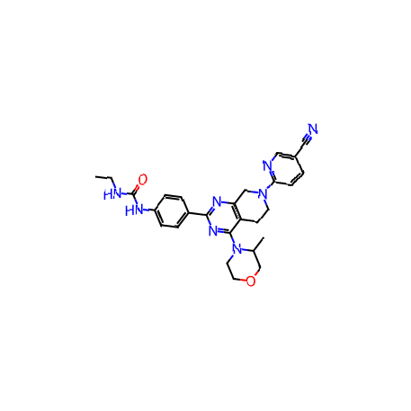 CCNC(=O)Nc1ccc(-c2nc3c(c(N4CCOCC4C)n2)CCN(c2ccc(C#N)cn2)C3)cc1